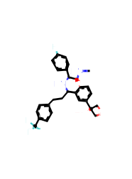 CNC(=O)C(NC(CCc1ccc(C(F)(F)F)cc1)c1cccc(C2(O)COC2)c1)c1ccc(F)cc1